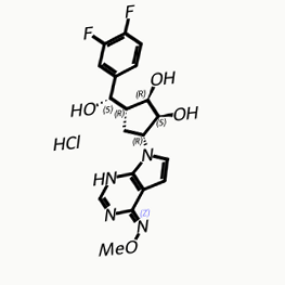 CO/N=c1\nc[nH]c2c1ccn2[C@@H]1C[C@H]([C@H](O)c2ccc(F)c(F)c2)[C@@H](O)[C@H]1O.Cl